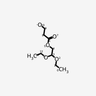 CCOC(COC(=O)CC[O])OCC